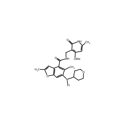 CCN(c1cc2oc(C)cc2c(C(=O)NCc2c(OC)cc(C)[nH]c2=O)c1C)C1CCOCC1